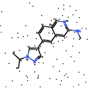 CNc1cc2cc(-c3cnn(C(C)C)c3)ccc2cn1